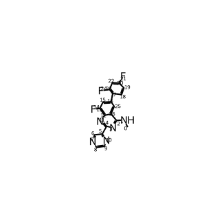 CNc1nc(-c2cnccn2)nc2c(F)cc(-c3ccc(F)cc3F)cc12